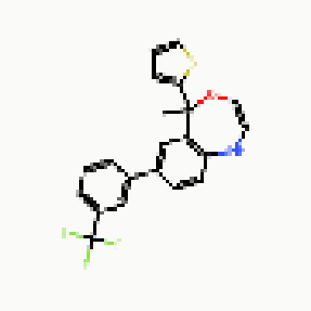 CC1(c2cccs2)OC=CNc2ccc(-c3cccc(C(F)(F)F)c3)cc21